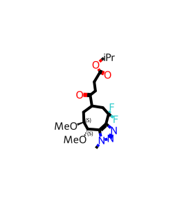 CO[C@H]1CC(C(=O)CCC(=O)OC(C)C)CC(F)(F)c2nnn(C)c2[C@@H]1OC